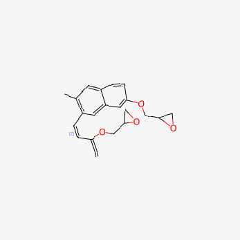 C=C(/C=C\c1cc2cc(OCC3CO3)ccc2cc1C)OCC1CO1